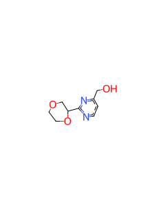 OCc1ccnc(C2COCCO2)n1